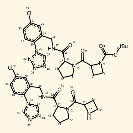 CC(C)(C)OC(=O)N1CCC1C(=O)N1CCC[C@H]1C(=O)NCc1cc(Cl)ccc1-n1cnnn1.O=C(NCc1cc(Cl)ccc1-n1cnnn1)[C@@H]1CCCN1C(=O)C1CCN1